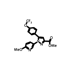 COC(=O)c1cc(-c2ccc(OC(F)(F)F)cc2)n(-c2ccc(OC)nc2)n1